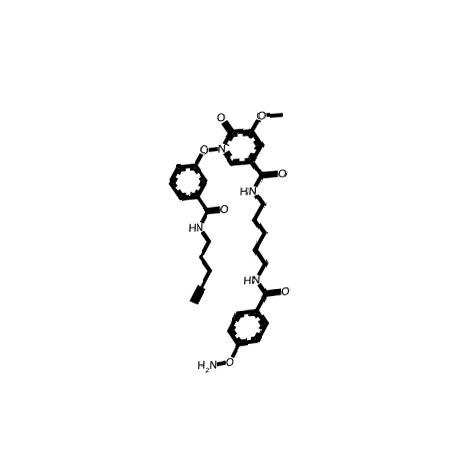 C#CCCCNC(=O)c1cccc(On2cc(C(=O)NCCCCCNC(=O)c3ccc(ON)cc3)cc(OC)c2=O)c1